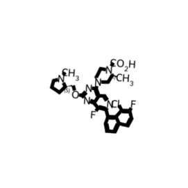 C[C@@H]1CN(c2nc(OC[C@@H]3CCCN3C)nc3c(F)c(-c4cccc5ccc(F)c(Cl)c45)ncc23)CCN1C(=O)O